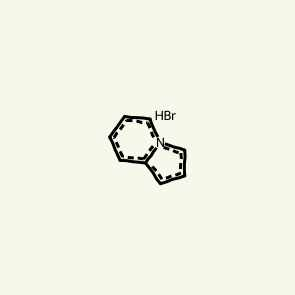 Br.c1ccn2cccc2c1